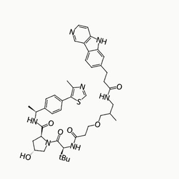 Cc1ncsc1-c1ccc([C@H](C)NC(=O)[C@@H]2C[C@@H](O)CN2C(=O)[C@@H](NC(=O)CCOCC(C)CNC(=O)CCc2ccc3c(c2)[nH]c2ccncc23)C(C)(C)C)cc1